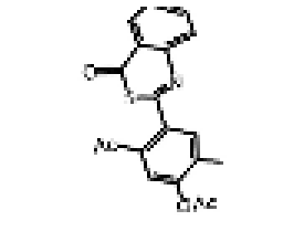 CC(=O)Oc1cc(C(C)=O)c(-c2nc3ccccc3c(=O)s2)cc1C